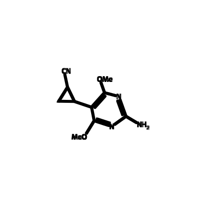 COc1nc(N)nc(OC)c1C1CC1C#N